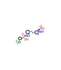 COC(=O)c1cc2cc(CCc3cccc(NC(=O)C(S)c4cccc(C(F)(F)F)c4)c3)cnc2[nH]1